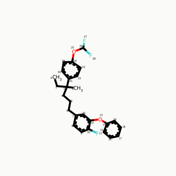 CCC(C)(CCCc1ccc(F)c(Oc2ccccc2)c1)c1ccc(OC(F)F)cc1